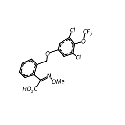 CON=C(C(=O)O)c1ccccc1COc1cc(Cl)c(OC(F)(F)F)c(Cl)c1